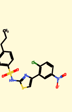 CCCc1ccc(S(=O)(=O)Nc2nc(-c3cc([N+](=O)[O-])ccc3Cl)cs2)cc1